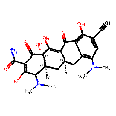 C#Cc1cc(N(C)C)c2c(c1O)C(=O)C1=C(O)[C@]3(O)C(=O)C(C(N)=O)=C(O)C(N(C)C)[C@@H]3C[C@@H]1C2